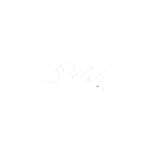 O=C(O)C(O)[C@@H](O)[C@H](O[C@@H]1OC(CO)[C@@H](O[C@@H]2OC(CO)[C@@H](O[C@@H]3OC(CO)[C@@H](O[C@@H]4OC(CO)[C@H](O)[C@H](O)C4O)[C@H](O)C3O)[C@H](O)C2O)[C@H](O)C1O)C(O)CO